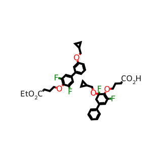 CCOC(=O)CCCOc1c(F)cc(-c2cccc(OCC3CC3)c2)cc1F.O=C(O)CCCOC1=C(F)C=C(c2ccccc2)CC1(F)OCC1CC1